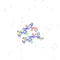 CN(Cc1nccs1)c1nc(Cl)nc(NNC(=O)[C@@H](CNC(=O)O)CC2CCCC2)c1F.CN(Cc1nccs1)c1nc(Cl)nc(NNC(=O)[C@@H](CNC(=O)OC2CCCCO2)CC2CCCC2)c1F